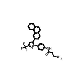 NCCC(=O)Nc1ccc(-n2nc(C(F)(F)F)cc2-c2ccc3ccc4ccccc4c3c2)cc1